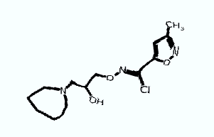 Cc1cc(C(Cl)=NOCC(O)CN2CCCCC2)on1